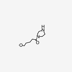 [O]CCCCC(=O)N1CCNCC1